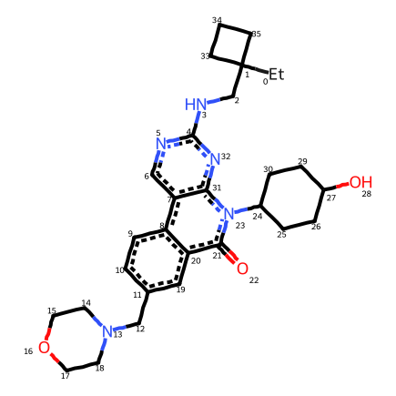 CCC1(CNc2ncc3c4ccc(CN5CCOCC5)cc4c(=O)n(C4CCC(O)CC4)c3n2)CCC1